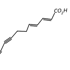 C#CC#CCCC=CC=CC(=O)O